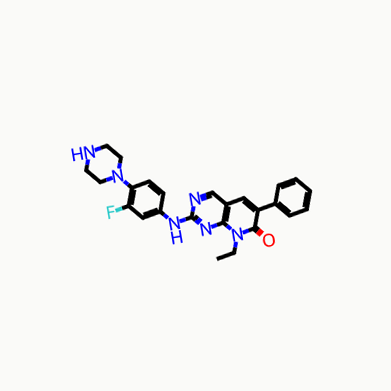 CCn1c(=O)c(-c2ccccc2)cc2cnc(Nc3ccc(N4CCNCC4)c(F)c3)nc21